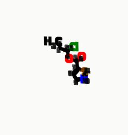 CCC(Cl)OC(=O)c1ccns1